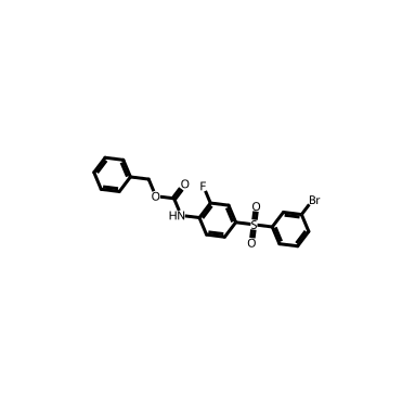 O=C(Nc1ccc(S(=O)(=O)c2cccc(Br)c2)cc1F)OCc1ccccc1